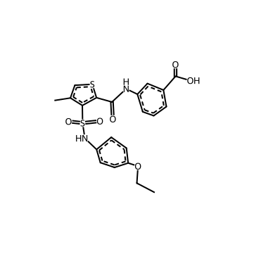 CCOc1ccc(NS(=O)(=O)c2c(C)csc2C(=O)Nc2cccc(C(=O)O)c2)cc1